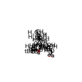 Cc1c(C)c(S(=O)(=O)NC(=N)NCCC[C@@H]2NC(=O)[C@H](CCCCNC(=O)C3OC(CNC(=O)OCC4c5ccccc5-c5ccccc54)C(O)C(O)C3O)NC(=O)[C@@H](Cc3ccccc3)NC(=O)[C@H](CC(=O)OC(C)(C)C)NC(=O)[C@H](C)NC2=O)c(C)c2c1OC(C)(C)C2